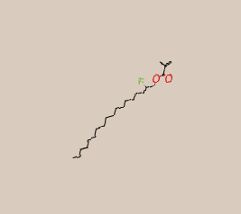 C=C(C)C(=O)OCC(F)CCCCCCCCCCCCCCCC